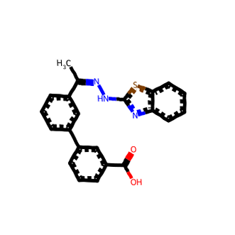 CC(=NNc1nc2ccccc2s1)c1cccc(-c2cccc(C(=O)O)c2)c1